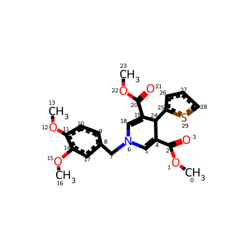 COC(=O)C1=CN(Cc2ccc(OC)c(OC)c2)C=C(C(=O)OC)C1c1cccs1